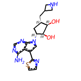 Nc1ncnc2c1c(-c1nccs1)cn2[C@@H]1C[C@H](CC2CNC2)[C@@H](O)[C@H]1O